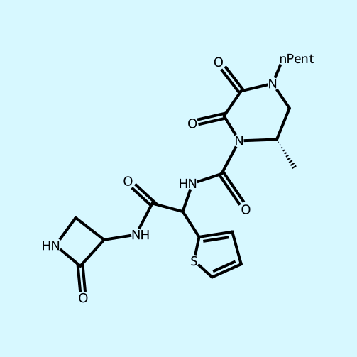 CCCCCN1C[C@H](C)N(C(=O)NC(C(=O)NC2CNC2=O)c2cccs2)C(=O)C1=O